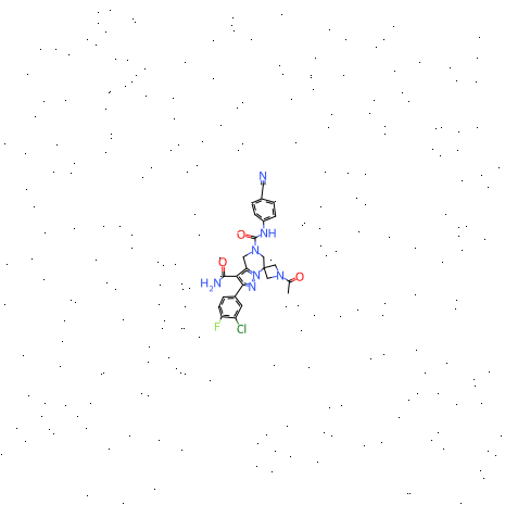 CC(=O)N1CC2(C1)CN(C(=O)Nc1ccc(C#N)cc1)Cc1c(C(N)=O)c(-c3ccc(F)c(Cl)c3)nn12